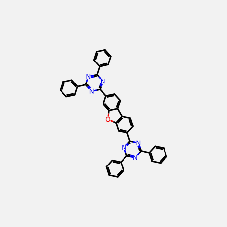 c1ccc(-c2nc(-c3ccccc3)nc(-c3ccc4c(c3)oc3cc(-c5nc(-c6ccccc6)nc(-c6ccccc6)n5)ccc34)n2)cc1